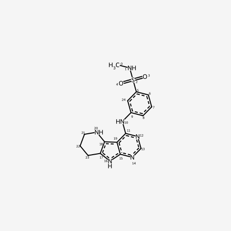 CNS(=O)(=O)c1cccc(Nc2ncnc3[nH]c4c(c23)NCCC4)c1